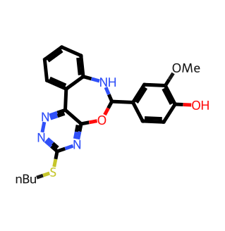 CCCCSc1nnc2c(n1)OC(c1ccc(O)c(OC)c1)Nc1ccccc1-2